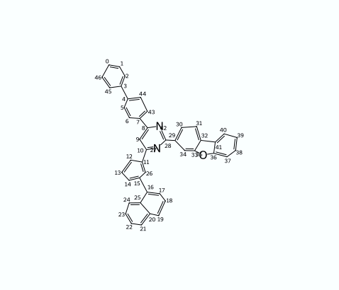 c1ccc(-c2ccc(-c3cc(-c4cccc(-c5cccc6ccccc56)c4)nc(-c4ccc5c(c4)oc4ccccc45)n3)cc2)cc1